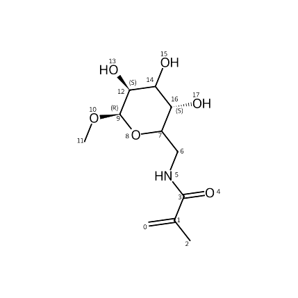 C=C(C)C(=O)NCC1O[C@@H](OC)[C@@H](O)C(O)[C@@H]1O